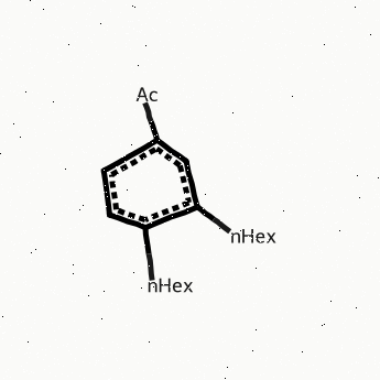 CCCCCCc1ccc(C(C)=O)cc1CCCCCC